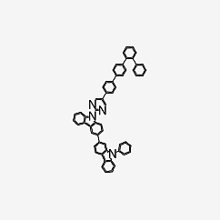 c1ccc(-c2ccccc2-c2ccc(-c3ccc(-c4cnc(-n5c6ccccc6c6cc(-c7ccc8c9ccccc9n(-c9ccccc9)c8c7)ccc65)nc4)cc3)cc2)cc1